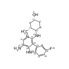 C[C@@H]1C[C@H](O)CCC1Nc1ncc(N)c2[nH]c3ccc(F)cc3c12